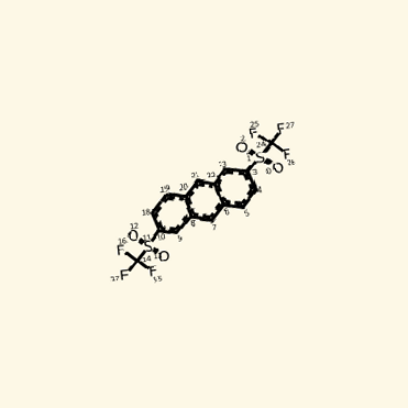 O=S(=O)(c1ccc2cc3cc(S(=O)(=O)C(F)(F)F)ccc3cc2c1)C(F)(F)F